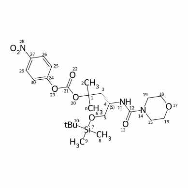 CC(C)(C[C@@H](CO[Si](C)(C)C(C)(C)C)NC(=O)N1CCOCC1)OC(=O)Oc1ccc([N+](=O)[O-])cc1